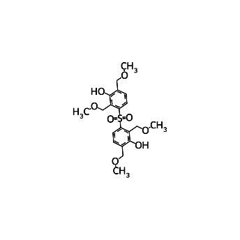 COCc1ccc(S(=O)(=O)c2ccc(COC)c(O)c2COC)c(COC)c1O